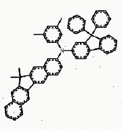 Cc1cc(C)cc(N(c2ccc3c(c2)C(c2ccccc2)(c2ccccc2)c2ccccc2-3)c2ccc3cc4c(cc3c2)C(C)(C)c2cc3ccccc3cc2-4)c1